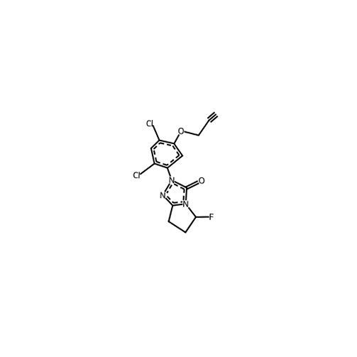 C#CCOc1cc(-n2nc3n(c2=O)C(F)CC3)c(Cl)cc1Cl